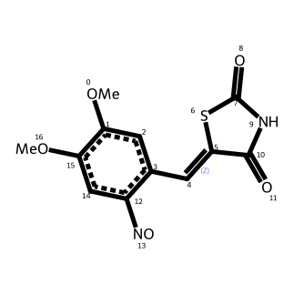 COc1cc(/C=C2\SC(=O)NC2=O)c(N=O)cc1OC